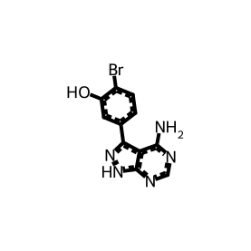 Nc1ncnc2[nH]nc(-c3ccc(Br)c(O)c3)c12